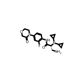 NC[C@H](C(=O)Nc1ccc(N2CCOCC2=O)cc1F)N(C1CC1)C1CC1